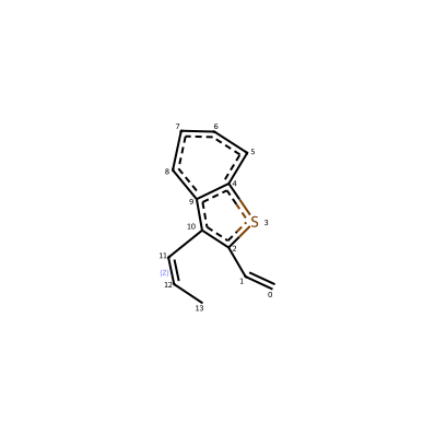 C=Cc1sc2ccccc2c1/C=C\C